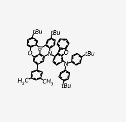 Cc1cc(C)cc(-c2cc3c4c(c2)N(c2ccc(N(c5ccc(C(C)(C)C)cc5)c5ccc(C(C)(C)C)cc5)c5oc6ccccc6c25)c2ccc(C(C)(C)C)cc2B4c2cc(C(C)(C)C)ccc2O3)c1